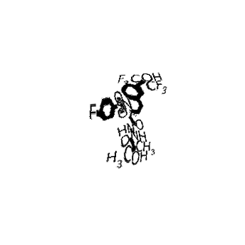 CC(C)(O)C(=O)NNC(=O)C[C@@H]1CCc2cc(C(O)(C(F)(F)F)C(F)(F)F)ccc2N1S(=O)(=O)c1ccc(F)cc1